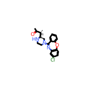 CC(=O)[C@H](C)[C@H]1CN(C2=Nc3cc(Cl)ccc3Oc3ccccc32)CCN1